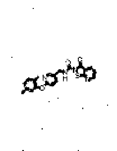 Cc1ccc(C)c(Oc2ccc(CNC(=O)n3sc4ncccc4c3=O)cn2)c1